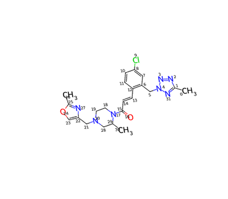 Cc1nnn(Cc2cc(Cl)ccc2/C=C/C(=O)N2CCN(Cc3coc(C)n3)CC2C)n1